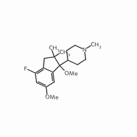 COc1cc(F)c2c(c1)C(OC)(C1CCN(C)CC1)C(C)(C)C2